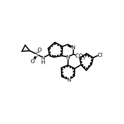 O=C(O)C1N=Cc2ccc(NS(=O)(=O)C3CC3)cc2N1c1ccncc1-c1ccc(Cl)cc1